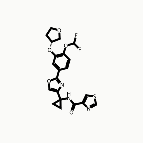 O=C(NC1(c2coc(-c3ccc(OC(F)F)c(O[C@@H]4CCOC4)c3)n2)CC1)c1cscn1